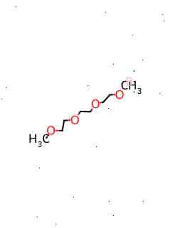 COCCOCCOCCOC.[B]